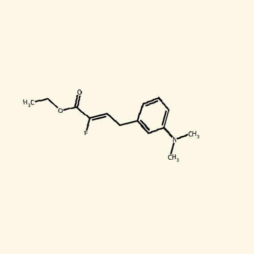 CCOC(=O)C(F)=CCc1cccc(N(C)C)c1